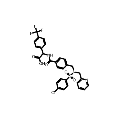 O=C(NC(C(=O)O)c1ccc(C(F)(F)F)cc1)c1ccc(CN(Cc2ccccn2)S(=O)(=O)c2ccc(Cl)cc2)cc1